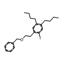 CCCCc1cc(I)c(CCOCc2ccccc2)cc1CCCC